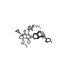 CC1C(=O)N(c2ccc3c(cnn3-c3ccc(F)cc3)c2)C(c2ccn(C)n2)[C@H]1NC(=O)C1CC1